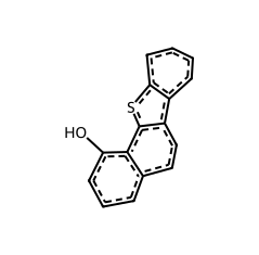 Oc1cccc2ccc3c4ccccc4sc3c12